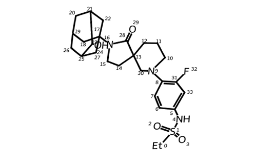 CCS(=O)(=O)Nc1ccc(N2CCCC3(CCN(C45CC6CC(C4)C(O)C(C6)C5)C3=O)C2)c(F)c1